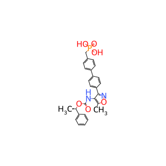 Cc1onc(-c2ccc(-c3ccc(CP(=O)(O)O)cc3)cc2)c1NC(=O)O[C@H](C)c1ccccc1